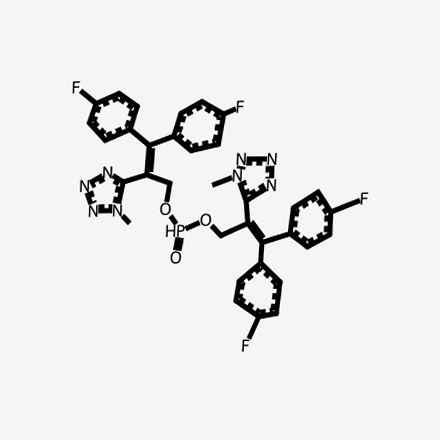 Cn1nnnc1C(CO[PH](=O)OCC(=C(c1ccc(F)cc1)c1ccc(F)cc1)c1nnnn1C)=C(c1ccc(F)cc1)c1ccc(F)cc1